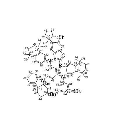 CCc1cc2oc3c(c2cc1C1(C)CCCC1)N(c1ccc2c(c1)C(C)(C)CCC2(C)C)c1cc(N2c4ccccc4C4(C)CCCCC24C)cc2c1B3c1cc3c(cc1N2c1cc(C(C)(C)C)cc(C(C)(C)C)c1)C(C)(C)CCC3(C)C